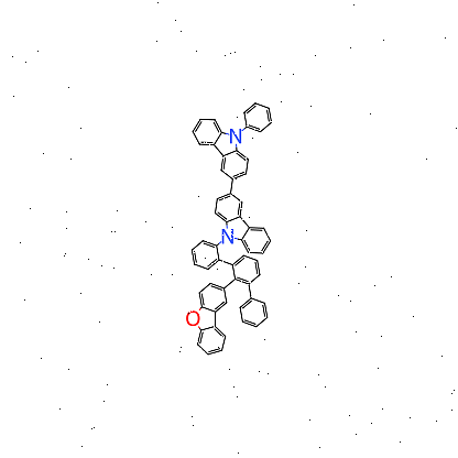 c1ccc(-c2cccc(-c3ccccc3-n3c4ccccc4c4cc(-c5ccc6c(c5)c5ccccc5n6-c5ccccc5)ccc43)c2-c2ccc3oc4ccccc4c3c2)cc1